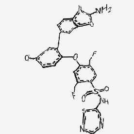 Nc1nc2ccc(-c3cc(Cl)ccc3Oc3cc(F)c(S(=O)(=O)Nc4ncns4)cc3F)cc2o1